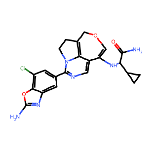 NC(=O)C(NC1=COCC2=C3C1=CN=C(c1cc(Cl)c4oc(N)nc4c1)N3CC2)C1CC1